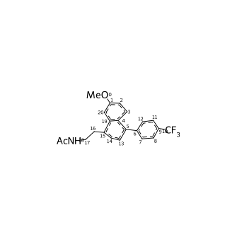 COc1ccc2c(-c3ccc(C(F)(F)F)cc3)ccc(CCNC(C)=O)c2c1